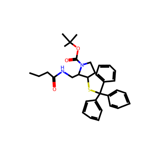 CCCC(=O)NCC1C(SC(c2ccccc2)(c2ccccc2)c2ccccc2)CCN1C(=O)OC(C)(C)C